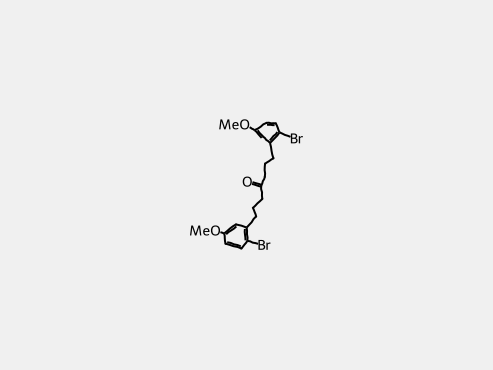 COc1ccc(Br)c(CCCC(=O)CCCc2cc(OC)ccc2Br)c1